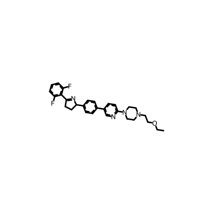 CCOCCN1CCN(c2ccc(-c3ccc(C4CCC(c5c(F)cccc5F)=N4)cc3)cn2)CC1